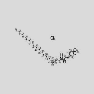 CCCCCCCCCCCCCCCCCCCCCC[N+](C)(C)CCCNC(=O)C=Cc1ccc(OC)cc1.[Cl-]